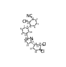 N#Cc1cccc(-c2cccc(-c3nc(-c4ccc(Cl)c(Cl)c4)cs3)c2)c1Cl